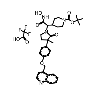 CC(C)(C)OC(=O)N1CCC([C@H](C(=O)NO)N2CCC(C)(c3ccc(OCc4ccnc5ccccc45)cc3)C2=O)CC1.O=C(O)C(F)(F)F